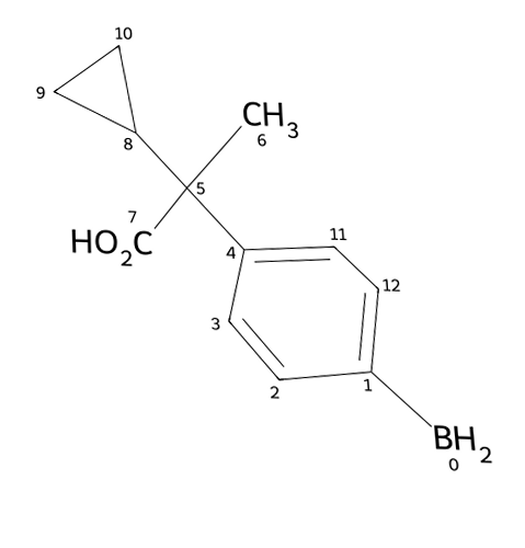 Bc1ccc(C(C)(C(=O)O)C2CC2)cc1